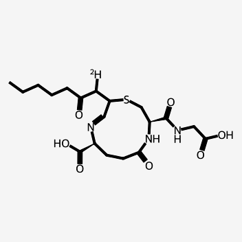 [2H]C(C(=O)CCCCC)C1/C=N/[C@H](C(=O)O)CCC(=O)N[C@H](C(=O)NCC(=O)O)CS1